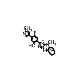 CN(c1nnc(-c2cc(F)c(-c3cnn(C)c3)cc2O)s1)C1CC2CCC(N2)C1F